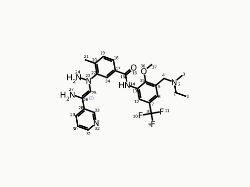 CCN(C)Cc1cc(C(F)(F)F)cc(NC(=O)c2ccc(C)c(N(N)/C=C(\N)c3cccnc3)c2)c1OC